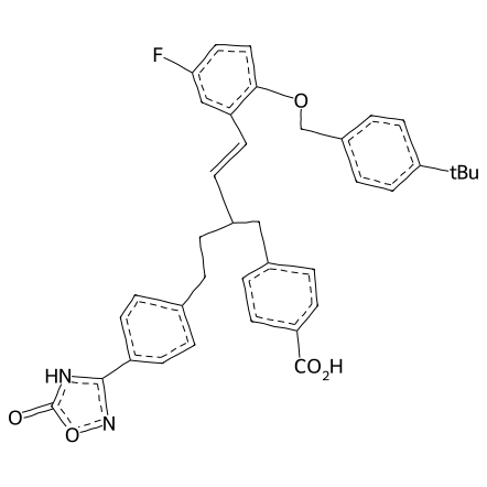 CC(C)(C)c1ccc(COc2ccc(F)cc2C=CC(CCc2ccc(-c3noc(=O)[nH]3)cc2)Cc2ccc(C(=O)O)cc2)cc1